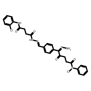 NN=C(C(=O)CCC(=O)N(Cl)c1ccccc1)c1ccc(C=NNC(=O)CCC(=O)Nc2ccccc2Cl)cc1